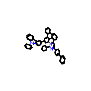 c1ccc(-c2ccc(-c3cc(-c4cccc5c6ccccc6c6cc(-c7ccc8c(c7)c7ccccc7n8-c7ccccc7)ccc6c45)nc(-c4ccccc4)n3)cc2)cc1